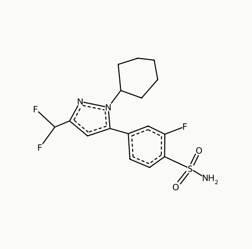 NS(=O)(=O)c1ccc(-c2cc(C(F)F)nn2C2CCCCC2)cc1F